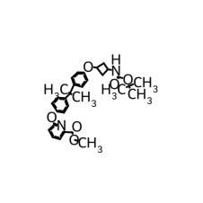 COC(=O)c1cccc(Oc2ccc(C(C)(C)c3ccc(OC4CC(NC(=O)OC(C)(C)C)C4)cc3)cc2)n1